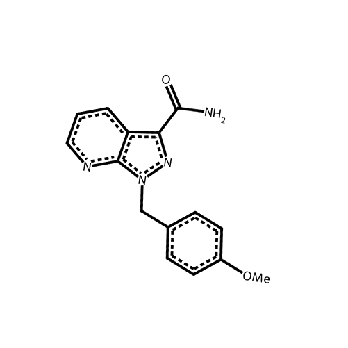 COc1ccc(Cn2nc(C(N)=O)c3cccnc32)cc1